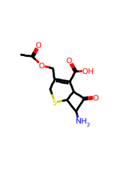 CC(=O)OCC1=C(C(=O)O)C2C(=O)C(N)C2SC1